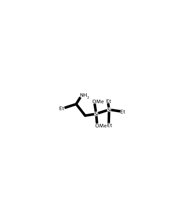 CCC(N)C[Si](OC)(OC)[Si](CC)(CC)CC